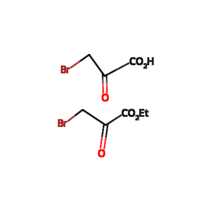 CCOC(=O)C(=O)CBr.O=C(O)C(=O)CBr